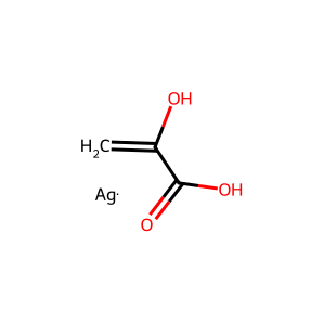 C=C(O)C(=O)O.[Ag]